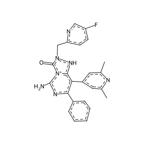 Cc1cc(-c2c(-c3ccccc3)nc(N)[n+]3c(=O)n(Cc4ccc(F)cn4)[nH]c23)cc(C)n1